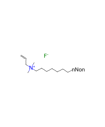 C=CC[N+](C)(C)CCCCCCCCCCCCCCCC.[F-]